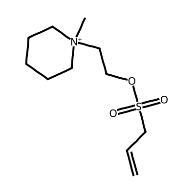 C=CCS(=O)(=O)OCC[N+]1(C)CCCCC1